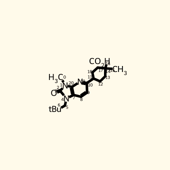 Cn1c(=O)n(CC(C)(C)C)c2ccc(C3CCC(C)(C(=O)O)CC3)nc21